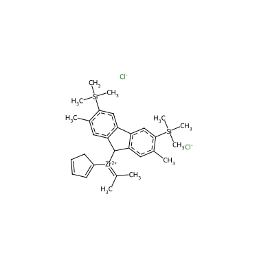 C[C](C)=[Zr+2]([C]1=CC=CC1)[CH]1c2cc(C)c([Si](C)(C)C)cc2-c2cc([Si](C)(C)C)c(C)cc21.[Cl-].[Cl-]